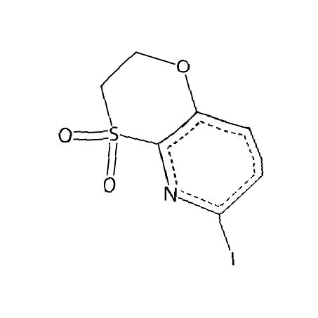 O=S1(=O)CCOc2ccc(I)nc21